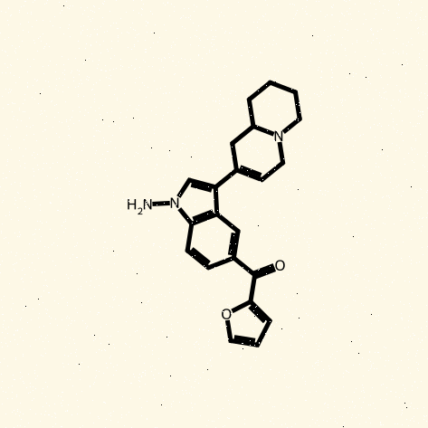 Nn1cc(C2=CCN3CCCCC3C2)c2cc(C(=O)c3ccco3)ccc21